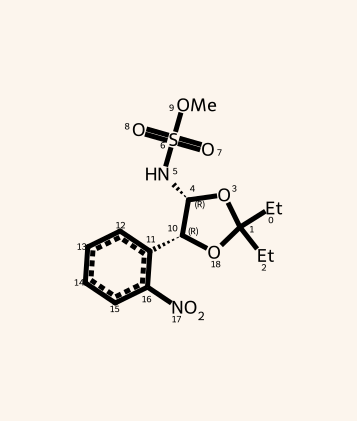 CCC1(CC)O[C@@H](NS(=O)(=O)OC)[C@@H](c2ccccc2[N+](=O)[O-])O1